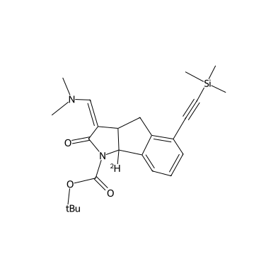 [2H]C12c3cccc(C#C[Si](C)(C)C)c3CC1/C(=C/N(C)C)C(=O)N2C(=O)OC(C)(C)C